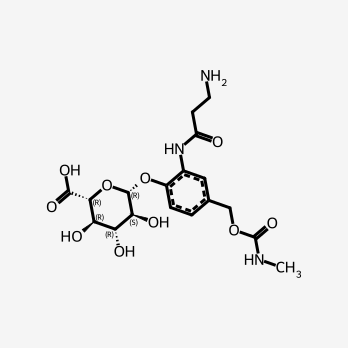 CNC(=O)OCc1ccc(O[C@H]2O[C@@H](C(=O)O)[C@H](O)[C@@H](O)[C@@H]2O)c(NC(=O)CCN)c1